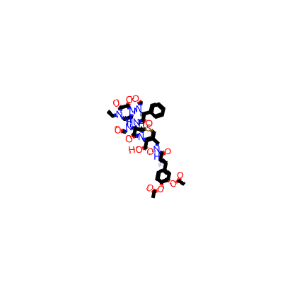 CCN1CCN(N(C=O)[C@@H](C(=O)N[C@]2(NC=O)C(=O)N3C(C(=O)O)=C(CNC(=O)/C=C/c4ccc(OC(C)=O)c(OC(C)=O)c4)CS[C@@H]32)c2ccccc2)C(=O)C1=O